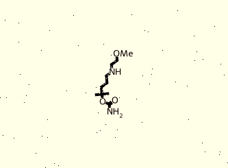 COCCNCCCC(C)(C)OC(N)=O